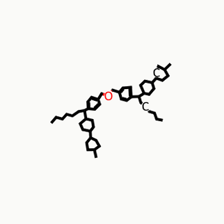 CCCCCCC(c1ccc(COCc2ccc(C(CCCCCC)C3CCC(C4CCC(C)CC4)CC3)cc2)cc1)C1CCC(C2CCC(C)CC2)CC1